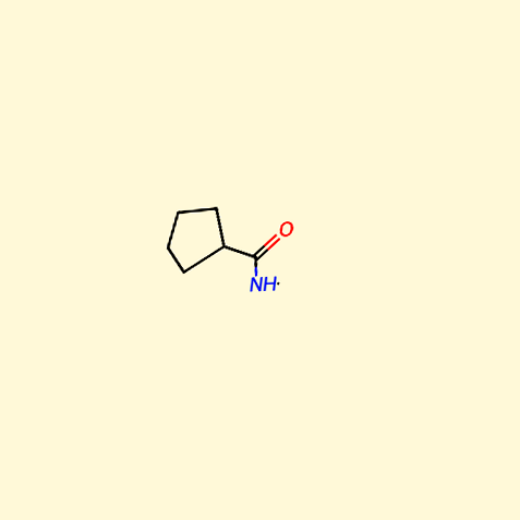 [NH]C(=O)C1CCCC1